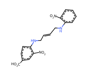 O=C(O)c1ccc(NCC=CCNc2ccccc2[N+](=O)[O-])c([N+](=O)[O-])c1